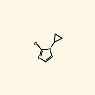 Clc1nccn1C1CC1